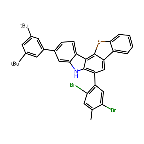 Cc1cc(Br)c(-c2cc3c4ccccc4sc3c3c2[nH]c2cc(-c4cc(C(C)(C)C)cc(C(C)(C)C)c4)ccc23)cc1Br